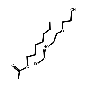 CCCCCCCOC(C)=O.CCOCC.OCCOCCO